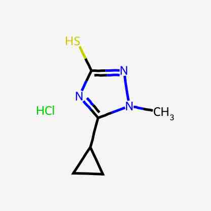 Cl.Cn1nc(S)nc1C1CC1